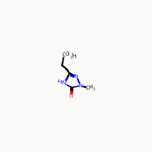 Cn1nc(CC(=O)O)[nH]c1=O